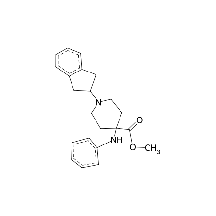 COC(=O)C1(Nc2ccccc2)CCN(C2Cc3ccccc3C2)CC1